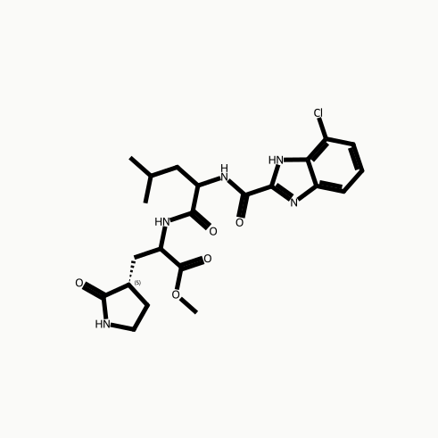 COC(=O)C(C[C@@H]1CCNC1=O)NC(=O)C(CC(C)C)NC(=O)c1nc2cccc(Cl)c2[nH]1